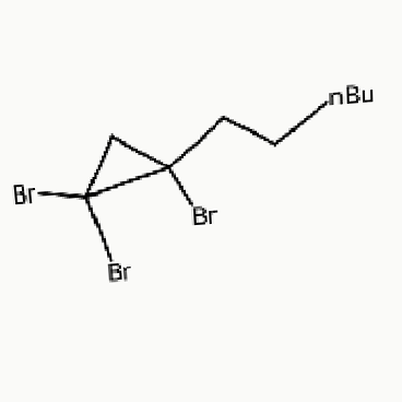 CCCCCCC1(Br)CC1(Br)Br